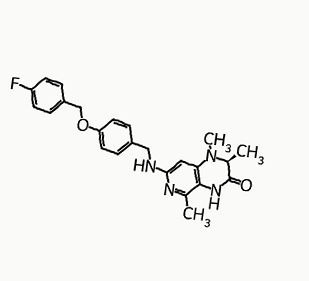 Cc1nc(NCc2ccc(OCc3ccc(F)cc3)cc2)cc2c1NC(=O)[C@H](C)N2C